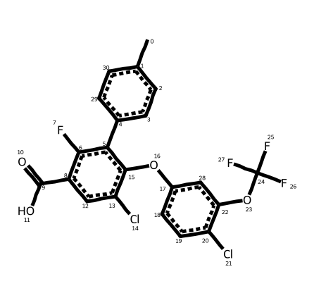 Cc1ccc(-c2c(F)c(C(=O)O)cc(Cl)c2Oc2ccc(Cl)c(OC(F)(F)F)c2)cc1